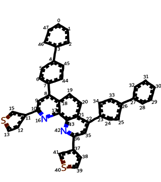 c1ccc(-c2ccc(-c3cc(-c4ccsc4)nc4c3ccc3c(-c5ccc(-c6ccccc6)cc5)cc(-c5ccsc5)nc34)cc2)cc1